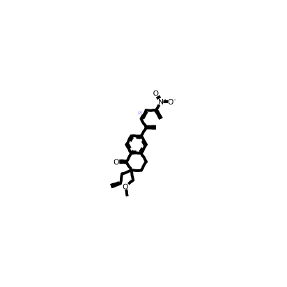 C=CCC1(COC)CCc2cc(C(=C)/C=C\C(=C)[N+](=O)[O-])ccc2C1=O